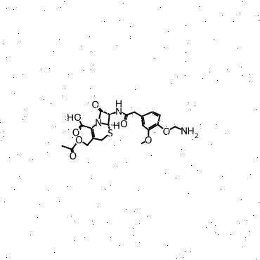 COc1cc(CC(=O)N[C@@H]2C(=O)N3C(C(=O)O)=C(COC(C)=O)CS[C@H]23)ccc1OCN